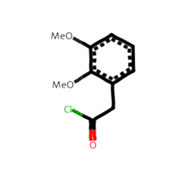 COc1cccc(CC(=O)Cl)c1OC